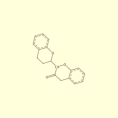 O=[C]1Cc2ccccc2[O][Cd]1[CH]1CCc2ccccc2O1